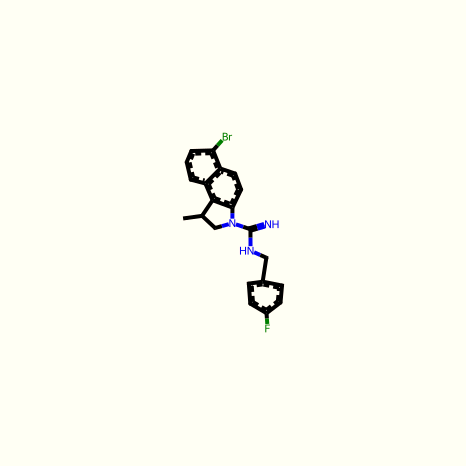 CC1CN(C(=N)NCc2ccc(F)cc2)c2ccc3c(Br)cccc3c21